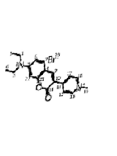 CCN(CC)c1ccc2cc(-c3cc[n+](C)cc3)c(=O)oc2c1.[Br-]